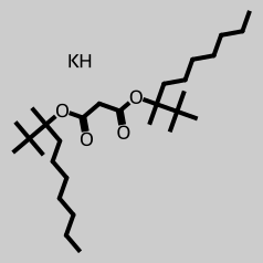 CCCCCCCC(C)(OC(=O)CC(=O)OC(C)(CCCCCCC)C(C)(C)C)C(C)(C)C.[KH]